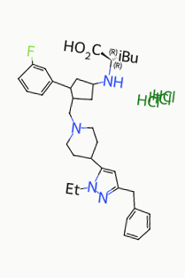 CC[C@@H](C)[C@@H](NC1CC(CN2CCC(c3cc(Cc4ccccc4)nn3CC)CC2)C(c2cccc(F)c2)C1)C(=O)O.Cl.Cl.Cl